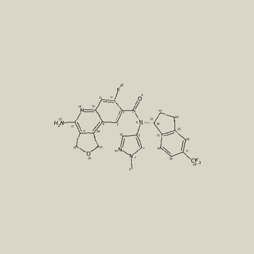 Cn1cc(N(C(=O)c2cc3c4c(c(N)nc3cc2F)COC4)[C@@H]2CCc3cc(C(F)(F)F)ccc32)cn1